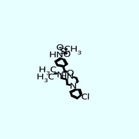 CC(C)N(CC1CN(c2cccc(Cl)c2)CCN1)C(=O)c1ccc(NS(C)(=O)=O)cc1